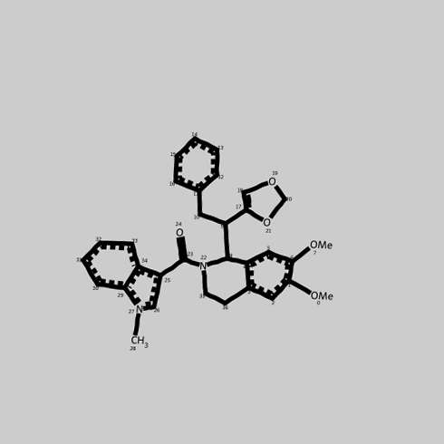 COc1cc2c(cc1OC)C(C(Cc1ccccc1)C1=COCO1)N(C(=O)c1cn(C)c3ccccc13)CC2